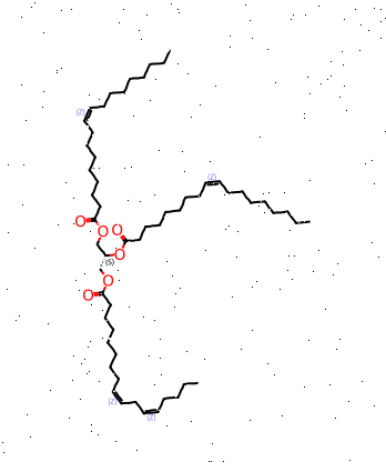 CCCC/C=C\C/C=C\CCCCCCCC(=O)OC[C@H](COC(=O)CCCCCCC/C=C\CCCCCCCC)OC(=O)CCCCCCC/C=C\CCCCCCCC